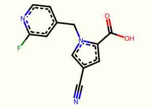 N#Cc1cc(C(=O)O)n(Cc2ccnc(F)c2)c1